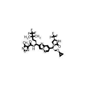 Cc1nonc1C(=O)N[C@@H](CCC(C)(C)C(F)(F)F)c1cn2ncc([C@@H](COC3CC3)N3C[C@@H](C(F)(F)F)NC3=O)cc2n1